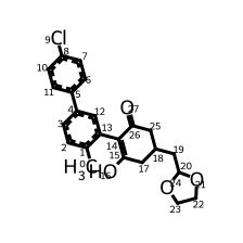 Cc1ccc(-c2ccc(Cl)cc2)cc1C1=C(O)CC(CC2OCCO2)CC1=O